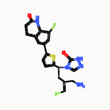 NC/C(=C/F)CC(c1ccc(-c2cc(F)c3[nH]c(=O)ccc3c2)s1)n1cn[nH]c1=O